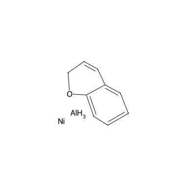 C1=Cc2ccccc2OC1.[AlH3].[Ni]